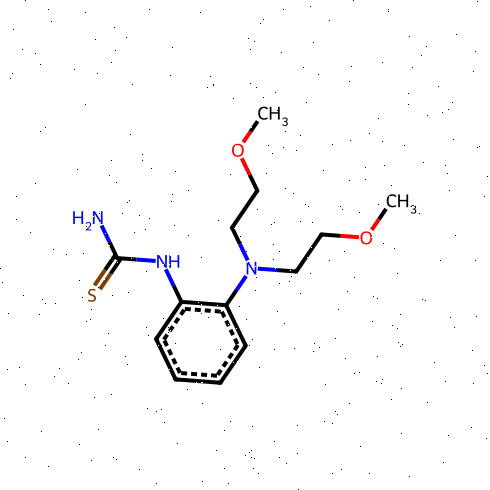 COCCN(CCOC)c1ccccc1NC(N)=S